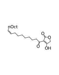 CCCCCCCC/C=C\CCCCCCCC(=O)C1=C(O)COC1=O